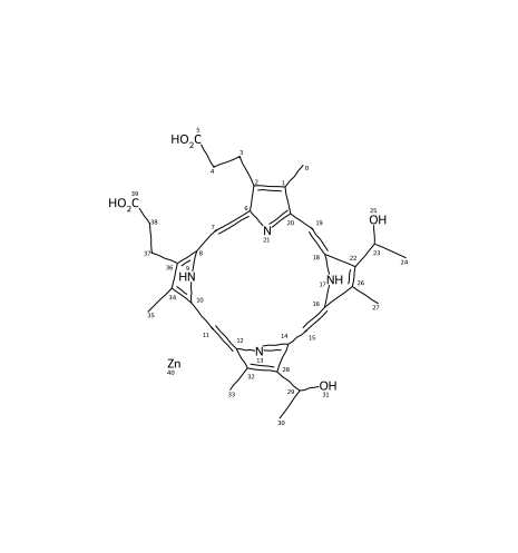 CC1=C(CCC(=O)O)c2cc3[nH]c(cc4nc(cc5[nH]c(cc1n2)c(C(C)O)c5C)C(C(C)O)=C4C)c(C)c3CCC(=O)O.[Zn]